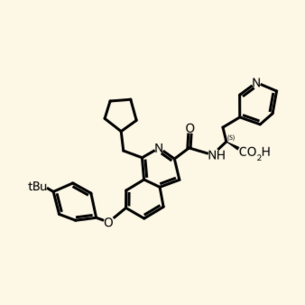 CC(C)(C)c1ccc(Oc2ccc3cc(C(=O)N[C@@H](Cc4cccnc4)C(=O)O)nc(CC4CCCC4)c3c2)cc1